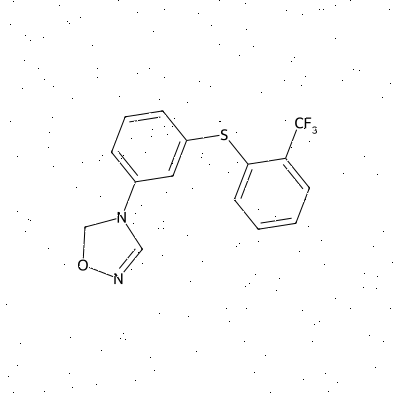 FC(F)(F)c1ccccc1Sc1cccc(N2C=NOC2)c1